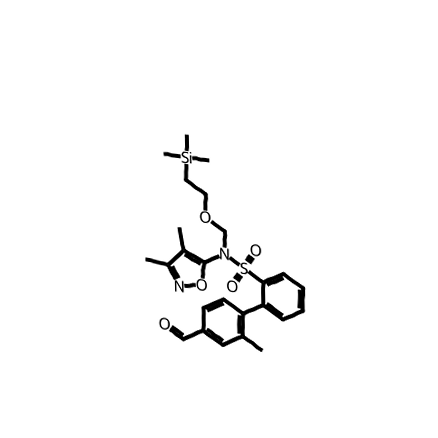 Cc1cc(C=O)ccc1-c1ccccc1S(=O)(=O)N(COCC[Si](C)(C)C)c1onc(C)c1C